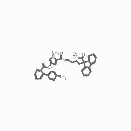 CCNC(=O)C1(CCCCNC(=O)c2cc(NC(=O)c3ccccc3-c3ccc(C(F)(F)F)cc3)cn2C)c2ccccc2-c2ccccc21